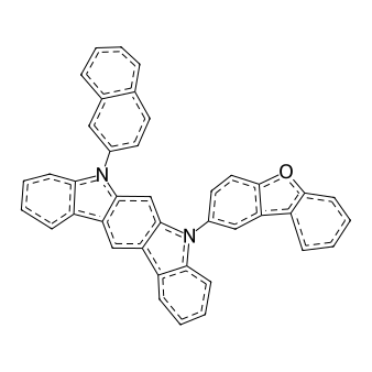 c1ccc2cc(-n3c4ccccc4c4cc5c6ccccc6n(-c6ccc7oc8ccccc8c7c6)c5cc43)ccc2c1